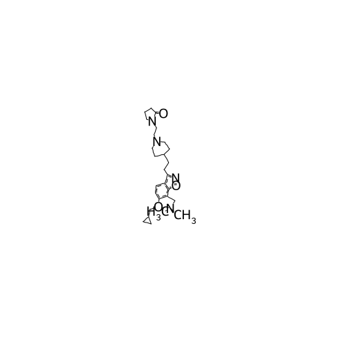 CN(C)Cc1c(OCC2CC2)ccc2c(CCC3CCN(CCN4CCCC4=O)CC3)noc12